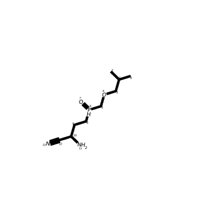 CC(C)COC[PH](=O)CCC(N)C#N